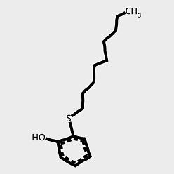 CCCCCCCCCSc1ccccc1O